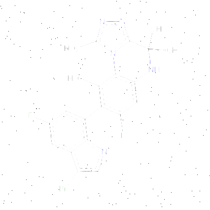 Cc1c(-c2cc(F)cc3c(Br)c[nH]c23)c(F)cc2c1-n1c(C)nnc1C(C)(C)N2